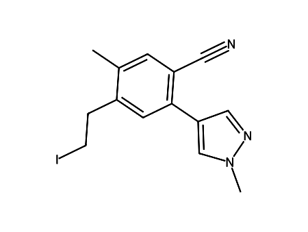 Cc1cc(C#N)c(-c2cnn(C)c2)cc1CCI